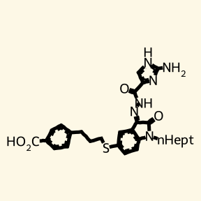 CCCCCCCN1C(=O)C(=NNC(=O)c2c[nH]c(N)n2)c2cc(SCCCc3ccc(C(=O)O)cc3)ccc21